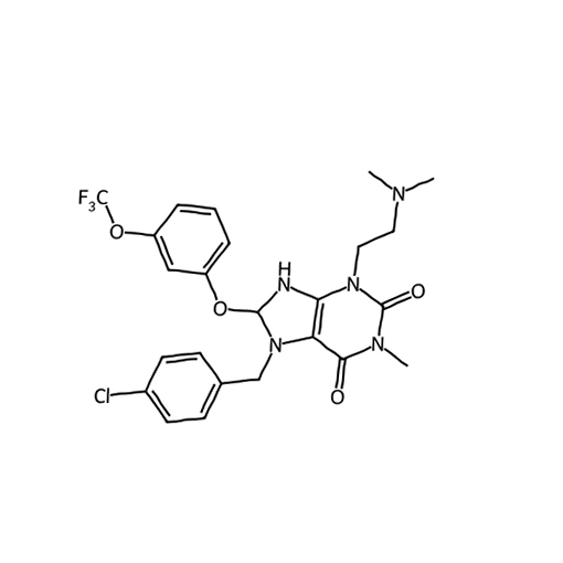 CN(C)CCn1c2c(c(=O)n(C)c1=O)N(Cc1ccc(Cl)cc1)C(Oc1cccc(OC(F)(F)F)c1)N2